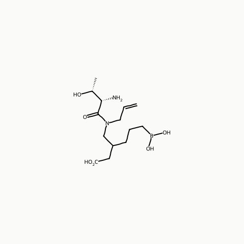 C=CCN(CC(CCCB(O)O)CC(=O)O)C(=O)[C@@H](N)[C@@H](C)O